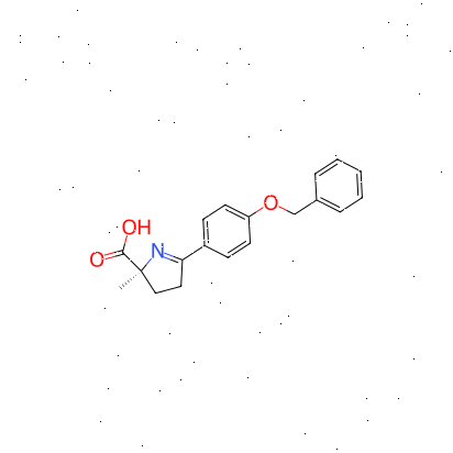 C[C@@]1(C(=O)O)CCC(c2ccc(OCc3ccccc3)cc2)=N1